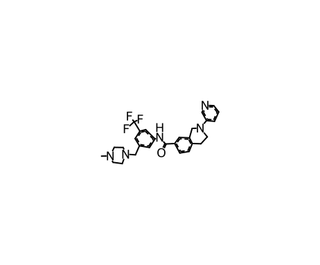 CN1CCN(Cc2cc(NC(=O)c3ccc4c(c3)CN(c3cccnc3)CC4)cc(C(F)(F)F)c2)CC1